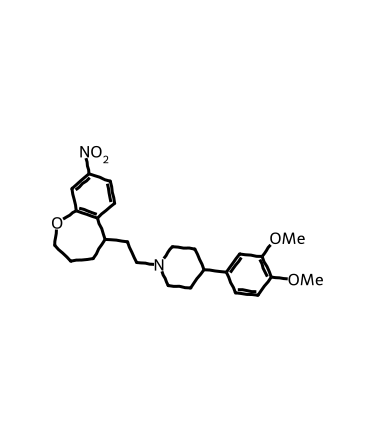 COc1ccc(C2CCN(CCC3CCCOc4cc([N+](=O)[O-])ccc43)CC2)cc1OC